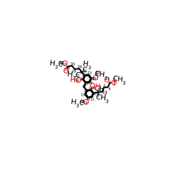 COC(=O)CCCC(C)(C)c1cc(OC)cc(Cc2cc(OC)cc(C(C)(C)CCCC(=O)OC)c2O)c1O